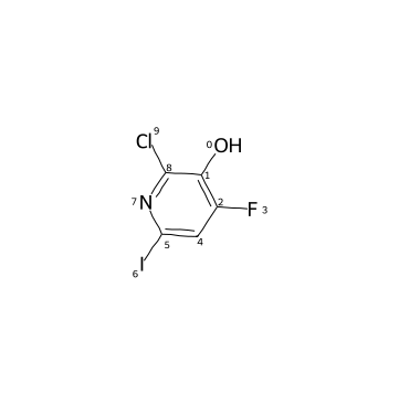 Oc1c(F)cc(I)nc1Cl